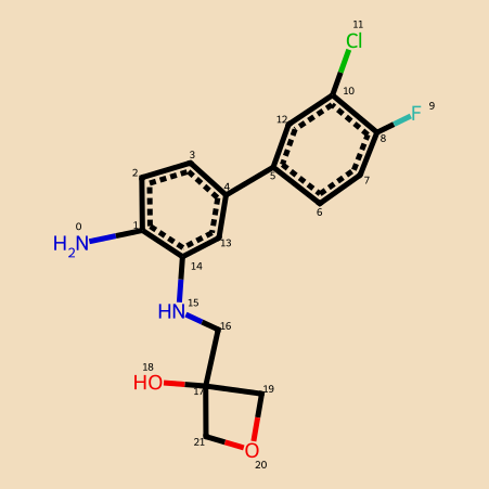 Nc1ccc(-c2ccc(F)c(Cl)c2)cc1NCC1(O)COC1